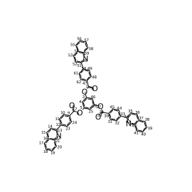 O=C(Oc1cc(OC(=O)c2ccc(-c3ccc4ccccc4n3)cc2)cc(OC(=O)c2ccc(-c3ccc4ccccc4n3)cc2)c1)c1ccc(-c2ccc3ccccc3n2)cc1